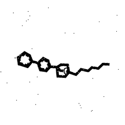 CCCCCCCC12CCC(c3ccc(-c4cc[c]cc4)cc3)(CC1)CC2